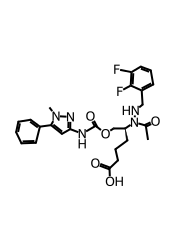 CC(=O)N(NCc1cccc(F)c1F)[C@@H](CCCC(=O)O)COC(=O)Nc1cc(-c2ccccc2)n(C)n1